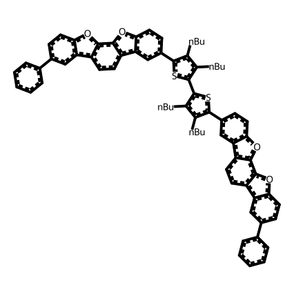 CCCCc1c(-c2ccc3oc4c(ccc5c6cc(-c7ccccc7)ccc6oc54)c3c2)sc(-c2sc(-c3ccc4oc5c(ccc6c7cc(-c8ccccc8)ccc7oc65)c4c3)c(CCCC)c2CCCC)c1CCCC